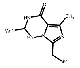 CNC1NC(=O)c2c(C)nc(CC(C)C)n2N1